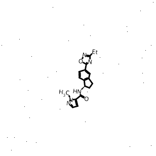 CCc1noc(-c2ccc3c(c2)CC[C@H]3NC(=O)c2ccnn2C)n1